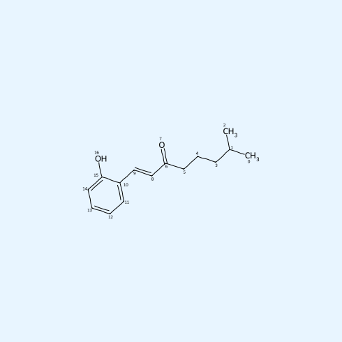 CC(C)CCCC(=O)C=Cc1ccccc1O